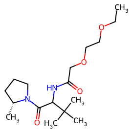 CCOCCOCC(=O)NC(C(=O)N1CCC[C@H]1C)C(C)(C)C